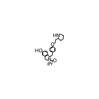 CC(C)C(=O)N1CCc2cc(O)ccc2C1Cc1ccc(OCCC2CCCCN2)cc1